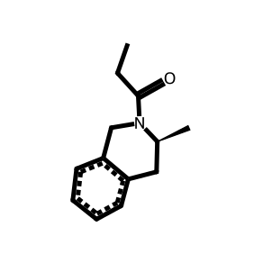 CCC(=O)N1Cc2ccccc2C[C@@H]1C